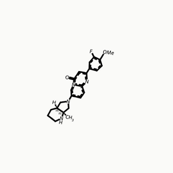 COc1ccc(-c2cc(=O)n3cc(N4C[C@H]5CCCN[C@@]5(C)C4)ccc3n2)cc1F